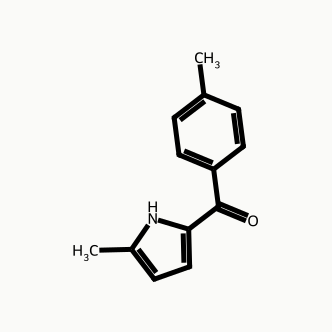 Cc1ccc(C(=O)c2ccc(C)[nH]2)cc1